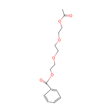 CC(=O)OCCOCCOCCOC(=O)c1ccccc1